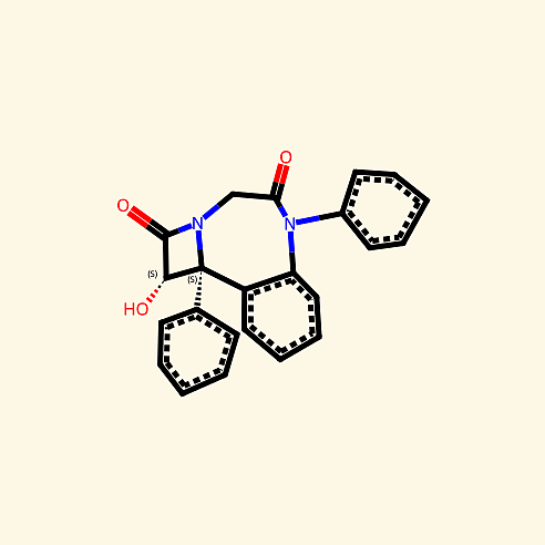 O=C1CN2C(=O)[C@@H](O)[C@]2(c2ccccc2)c2ccccc2N1c1ccccc1